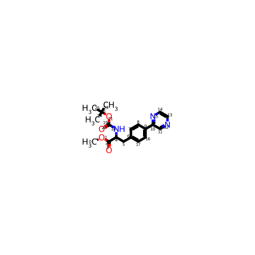 COC(=O)C(Cc1ccc(-c2cnccn2)cc1)NC(=O)OC(C)(C)C